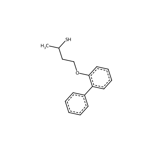 CC(S)CCOc1ccccc1-c1ccccc1